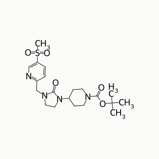 CC(C)(C)OC(=O)N1CCC(N2CCN(Cc3ccc(S(C)(=O)=O)cn3)C2=O)CC1